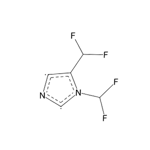 FC(F)c1[c]n[c]n1C(F)F